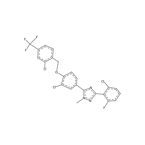 Cn1nc(-c2c(F)cccc2Cl)nc1-c1ccc(OCc2ccc(C(F)(F)F)cc2Cl)c(Cl)c1